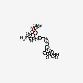 COC(=O)N[C@@H]1CC[C@@H](n2c(=O)n(C)c3cnc4[nH]c(-c5ccc(CN6CCN(CC7CCN(c8cccc9c8C(=O)N(C8CCC(=O)NC8=O)C9=O)CC7)CC6)cc5)c(-c5ccc6c(cnn6C(C)C)c5)c4c32)C1